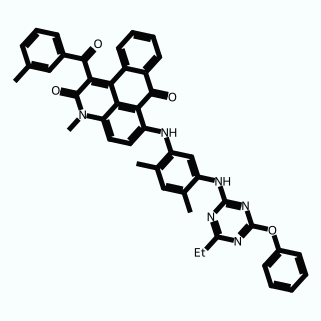 CCc1nc(Nc2cc(Nc3ccc4c5c3C(=O)c3ccccc3-c5c(C(=O)c3cccc(C)c3)c(=O)n4C)c(C)cc2C)nc(Oc2ccccc2)n1